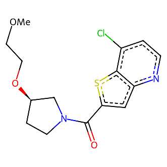 COCCO[C@@H]1CCN(C(=O)c2cc3nccc(Cl)c3s2)C1